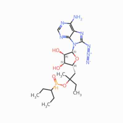 CCC(CC)[PH](=O)OC(C)(CC)C[C@H]1O[C@H](n2c(N=[N+]=[N-])nc3c(N)ncnc32)[C@H](O)[C@@H]1O